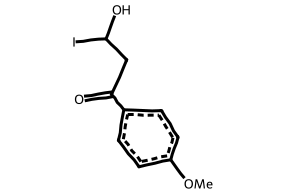 COc1ccc(C(=O)CC(O)I)cc1